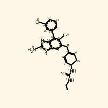 CCNC(=O)NC1C=CC(Cc2cc3sc(N)nc3c(-c3cccc(Cl)c3)c2F)=CC1